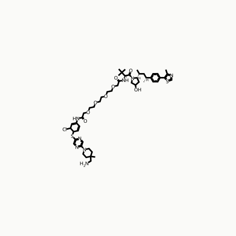 Cc1ncsc1-c1ccc([C@H](C)CC(C)[C@@H]2CC(O)CN2C(=O)[C@@H](NC(=O)COCCOCCOCCOCC(=O)NC2=CC(Cl)C(Sc3cnc(N4CCC(C)(CN)CC4)cn3)C=C2)C(C)(C)C)cc1